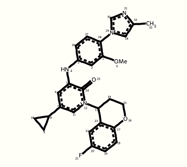 COc1cc(Nc2cc(C3CC3)cn(C3CCOc4ccc(F)cc43)c2=O)ccc1-n1cnc(C)c1